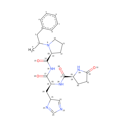 CC(Cc1ccccc1)N1CCC[C@H]1C(=O)NC(=O)[C@H](CC1C=NC=N1)NC(=O)[C@@H]1CCC(=O)N1